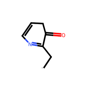 [CH2]CC1=NC=CCC1=O